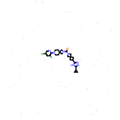 O=C(N1CC2(CCN(c3ncc(Cl)cc3F)CC2)C1)N1CC2(CC(c3nnc(C4CC4)[nH]3)C2)C1